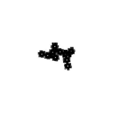 c1ccc(-c2ccc(-c3nc(-c4ccc(-n5c6ccccc6c6cc7c8cc(-c9ccccc9)ccc8n8c9ccccc9c(c65)c78)cc4)nc4c3sc3ccccc34)cc2)cc1